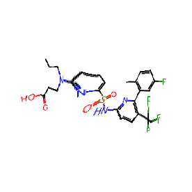 CCCN(CCC(=O)O)c1cccc(S(=O)(=O)Nc2ccc(C(F)(F)F)c(-c3cc(F)ccc3C)n2)n1